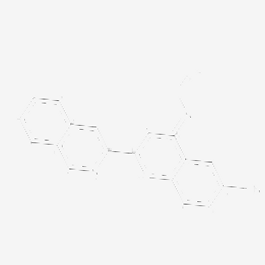 CC(C)(C)ON=c1cc(-c2cc3ccccc3cn2)oc2ccc(C#N)cc12